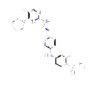 CN(C)c1ccc(Nc2ccc(/C=N/Nc3ncc(F)c(N4CCOCC4)n3)nc2)cc1Cl